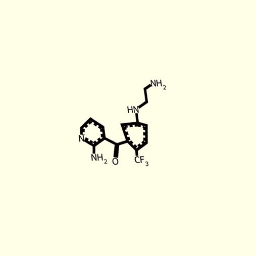 NCCNc1ccc(C(F)(F)F)c(C(=O)c2cccnc2N)c1